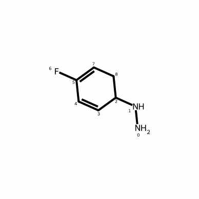 NNC1C=CC(F)=CC1